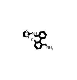 NCc1cccc(Cl)c1-c1ccccc1CNc1nccs1